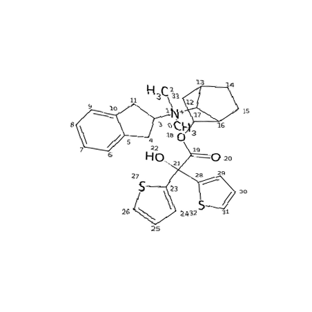 C[N+](C)(C1Cc2ccccc2C1)C1C2CCC1C(OC(=O)C(O)(c1cccs1)c1cccs1)C2